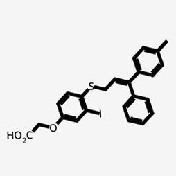 Cc1ccc(C(=CCSc2ccc(OCC(=O)O)cc2I)c2ccccc2)cc1